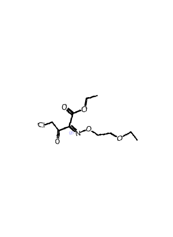 CCOCCO/N=C(/C(=O)CCl)C(=O)OCC